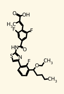 CCCCC(OCC)c1cccc(-c2csc(NC(=O)c3cc(F)c(/C=C(\C)C(=O)O)c(F)c3)n2)c1F